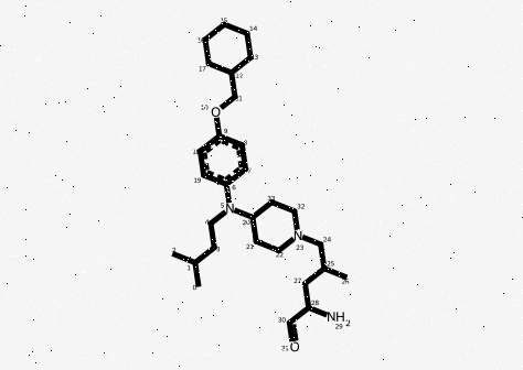 CC(C)CCN(c1ccc(OCC2CCCCC2)cc1)C1CCN(CC(C)CC(N)C=O)CC1